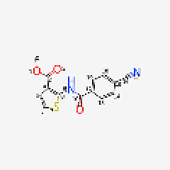 COC(=O)c1ccsc1NC(=O)c1ccc(C#N)cc1